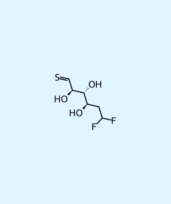 O[C@H]([C@H](O)CC(F)F)[C@@H](O)C=S